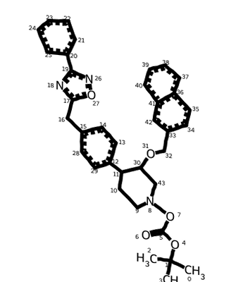 CC(C)(C)OC(=O)ON1CCC(c2ccc(Cc3nc(-c4ccccc4)no3)cc2)C(OCc2ccc3ccccc3c2)C1